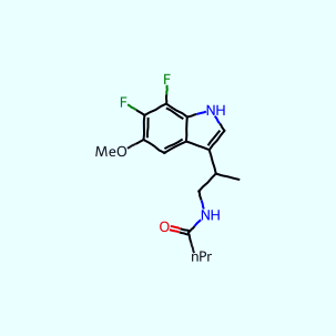 CCCC(=O)NCC(C)c1c[nH]c2c(F)c(F)c(OC)cc12